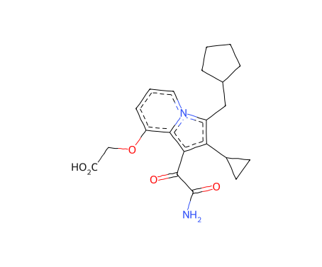 NC(=O)C(=O)c1c(C2CC2)c(CC2CCCC2)n2cccc(OCC(=O)O)c12